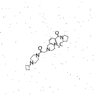 CC1CCCN1C(=O)c1ccc2c(c1)CCN(CC(=O)N1CCN(C3CCC3)CC1)C2